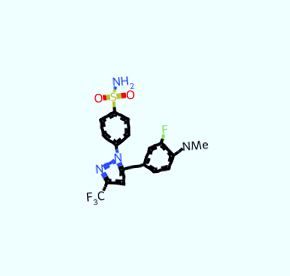 CNc1ccc(-c2cc(C(F)(F)F)nn2-c2ccc(S(N)(=O)=O)cc2)cc1F